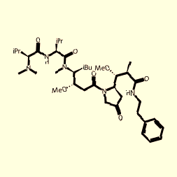 CC[C@H](C)[C@@H]([C@H](CC(=O)N1CC(=O)C[C@@H]1[C@H](OC)[C@@H](C)C(=O)NCCc1ccccc1)OC)N(C)C(=O)[C@@H](NC(=O)[C@H](C(C)C)N(C)C)C(C)C